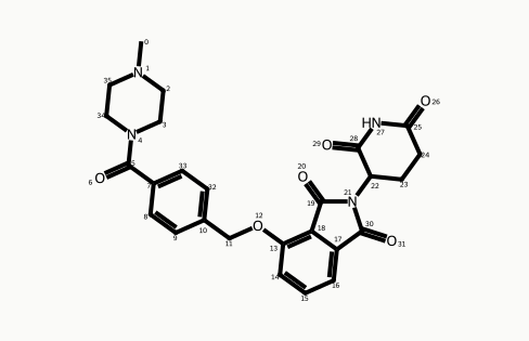 CN1CCN(C(=O)c2ccc(COc3cccc4c3C(=O)N(C3CCC(=O)NC3=O)C4=O)cc2)CC1